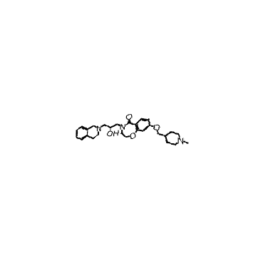 CN1CCC(COc2ccc3c(c2)OCCN(C[C@H](O)CN2CCc4ccccc4C2)C3=O)CC1